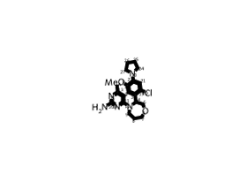 COc1cc(C2COCCCN2c2cc(C)nc(N)n2)c(Cl)cc1N1CCCC1